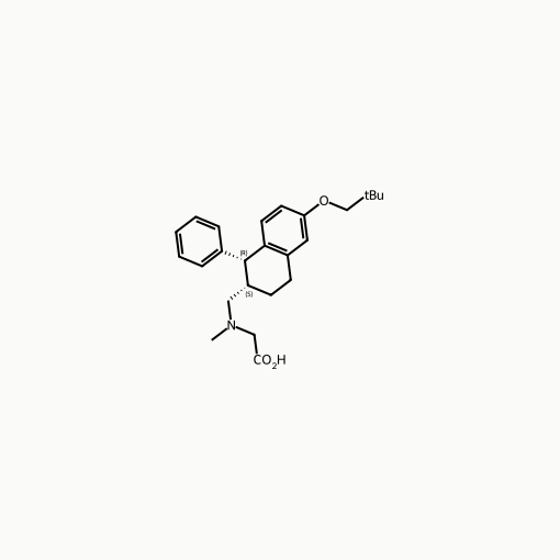 CN(CC(=O)O)C[C@H]1CCc2cc(OCC(C)(C)C)ccc2[C@H]1c1ccccc1